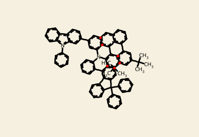 CC(C)(C)c1cc(-c2cccc3cccc(-c4ccccc4N(c4cccc(-c5ccc6c7ccccc7n(-c7ccccc7)c6c5)c4)c4ccccc4-c4cccc5c4-c4ccccc4C5(c4ccccc4)c4ccccc4)c23)cc(C(C)(C)C)c1